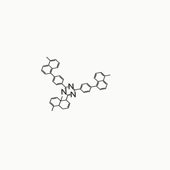 CC1=CC=CC2(C)C1CC=CC2c1nc(-c2ccc(-c3cccc4c(C)cccc34)cc2)nc(-c2ccc(-c3cccc4c(C)cccc34)cc2)n1